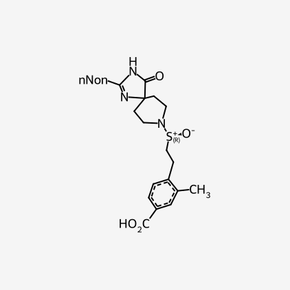 CCCCCCCCCC1=NC2(CCN([S@@+]([O-])CCc3ccc(C(=O)O)cc3C)CC2)C(=O)N1